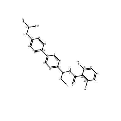 O=C(NC(CI)c1ccc(-c2ccc(SC(F)F)cc2)cc1)c1c(F)cccc1F